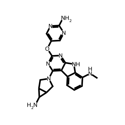 CNc1cccc2c1[nH]c1nc(Oc3cnc(N)nc3)nc(N3CC4C(N)C4C3)c12